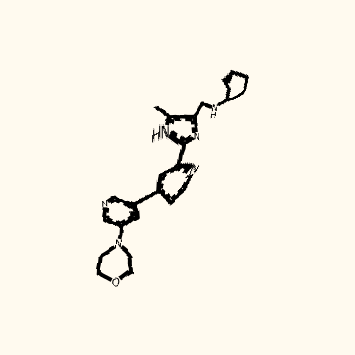 Cc1[nH]c(-c2cc(-c3cncc(N4CCOCC4)c3)ccn2)nc1CNC1CCCC1